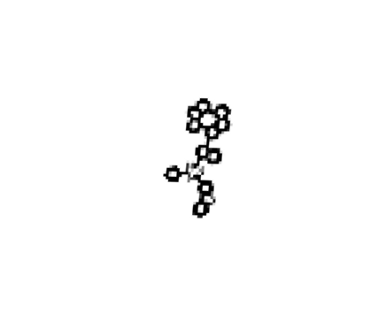 c1ccc(-c2nc(-c3ccc4sc5ccccc5c4c3)nc(-c3ccc(-c4cc5ccc6cccc7c8cccc9ccc%10cccc(c(c4)c5c67)c%10c98)c4ccccc34)n2)cc1